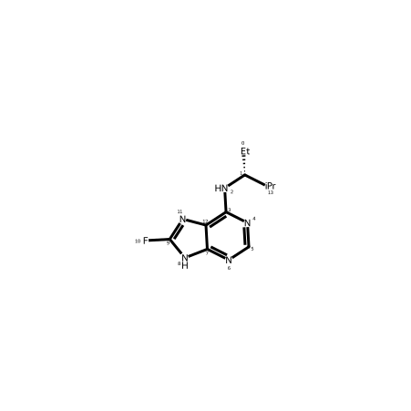 CC[C@@H](Nc1ncnc2[nH]c(F)nc12)C(C)C